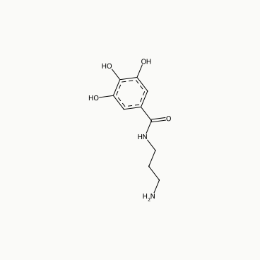 NCCCNC(=O)c1cc(O)c(O)c(O)c1